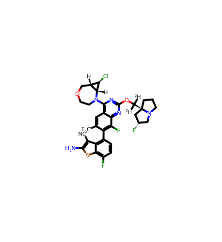 [2H]C([2H])(Oc1nc(N2CCOC[C@@H]3[C@@H](Cl)[C@@H]32)c2cc(C(F)(F)F)c(-c3ccc(F)c4sc(N)c(C#N)c34)c(F)c2n1)[C@@]12CCCN1C[C@H](F)C2